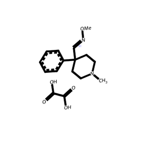 CO/N=C/C1(c2ccccc2)CCN(C)CC1.O=C(O)C(=O)O